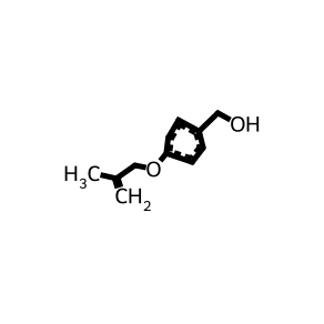 C=C(C)COc1ccc(CO)cc1